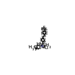 C=C(N/C(=N\CCl)C1CCC(C)(F)CC1)c1ccc(CCc2ccc(C(F)(F)F)cn2)cc1